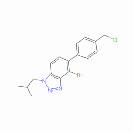 CC(C)Cn1nnc2c(Br)c(-c3ccc(CCl)cc3)ccc21